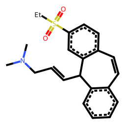 CCS(=O)(=O)c1ccc2c(c1)C(C=CCN(C)C)c1ccccc1C=C2